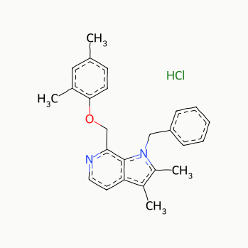 Cc1ccc(OCc2nccc3c(C)c(C)n(Cc4ccccc4)c23)c(C)c1.Cl